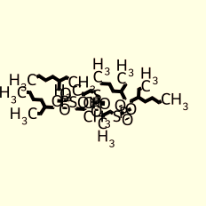 CCCCC(CC)COP(=O)(OCC(CC)CCCC)SCC(C)OP(=O)(OC(C)CSP(=O)(OCC(CC)CCCC)OCC(CC)CCCC)SCC(C)O